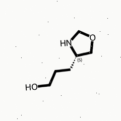 OCCC[C@H]1COCN1